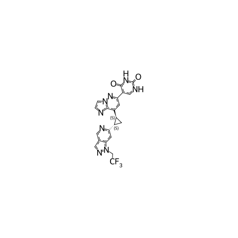 O=c1[nH]cc(-c2cc([C@H]3C[C@@H]3c3cc4c(cn3)cnn4CC(F)(F)F)c3nccn3n2)c(=O)[nH]1